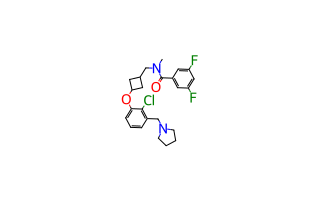 CN(CC1CC(Oc2cccc(CN3CCCC3)c2Cl)C1)C(=O)c1cc(F)cc(F)c1